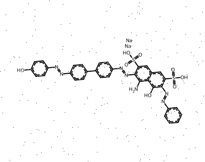 Nc1c(N=Nc2ccc(-c3ccc(N=Nc4ccc(O)cc4)cc3)cc2)c(S(=O)(=O)O)cc2cc(S(=O)(=O)O)c(N=Nc3ccccc3)c(O)c12.[Na].[Na]